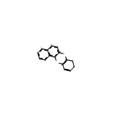 Cl[C@@H]1C=CC2=C(C1)Nc1ccc3ccccc3c1O2